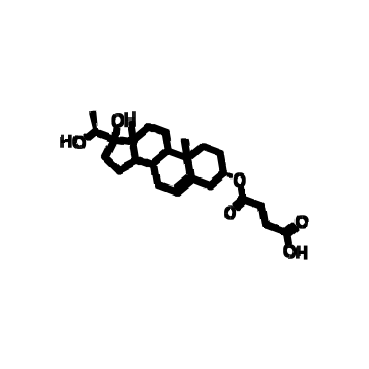 C[C@H](O)C1(O)CCC2C3CC=C4C[C@@H](OC(=O)CCC(=O)O)CCC4(C)C3CCC21C